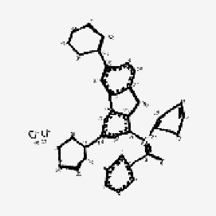 C/[C](c1ccccc1)=[Ti+2](\[C]1=CC=CC1)[c]1cc(C2CCCCC2)cc2c1Cc1ccc(C3CCCCC3)cc1-2.[Cl-].[Cl-]